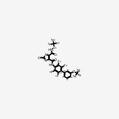 [2H]C([2H])([2H])ONC(=O)c1sc(Cl)nc1C(=O)Nc1c(F)c(F)c(-c2cccc(OC([2H])([2H])[2H])c2)c(F)c1F